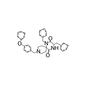 O=C1C(Cc2ccccc2)NC(=O)C2(CCN(Cc3ccc(Oc4ccccc4)cc3)CC2)N1Cc1ccccc1